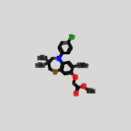 CCCCC1(CCCC)CSc2cc(OCC(=O)OC(C)(C)C)c(SC)cc2N(c2ccc(Br)cc2)C1